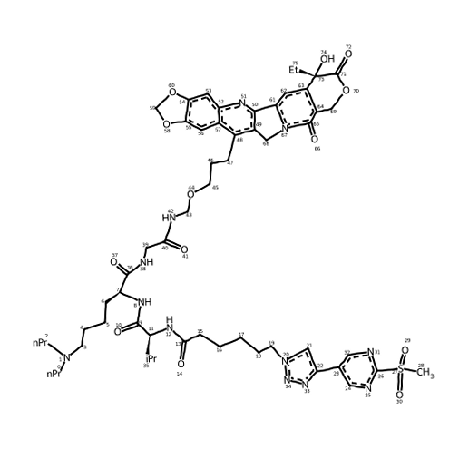 CCCN(CCC)CCCC[C@H](NC(=O)[C@@H](NC(=O)CCCCCn1cc(-c2cnc(S(C)(=O)=O)nc2)nn1)C(C)C)C(=O)NCC(=O)NCOCCCc1c2c(nc3cc4c(cc13)OCO4)-c1cc3c(c(=O)n1C2)COC(=O)[C@]3(O)CC